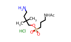 CC(=O)NCCCS(=O)(=O)OCC(C)(C)CCN.Cl